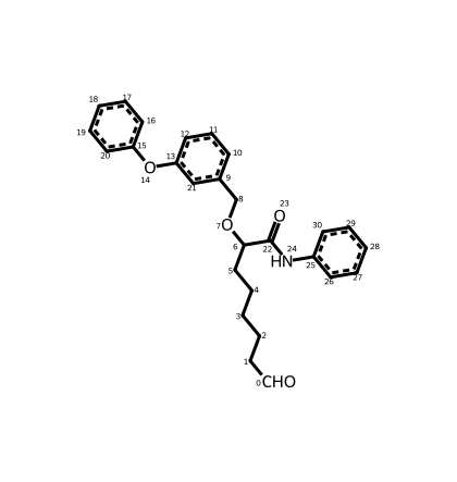 O=CCCCCCC(OCc1cccc(Oc2ccccc2)c1)C(=O)Nc1ccccc1